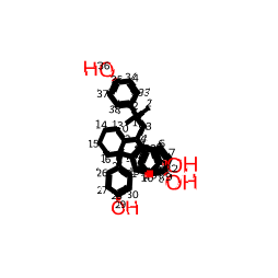 CC(C)(CC(c1ccc(O)cc1)C1CCCCC1(c1ccc(O)cc1)c1ccc(O)cc1)c1ccc(O)cc1